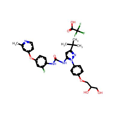 Cc1cc(Oc2ccc(NC(=O)Nc3cc(C(C)(C)C)nn3-c3ccc(OCC(O)CO)cc3)c(F)c2)ccn1.O=C(O)C(F)(F)F